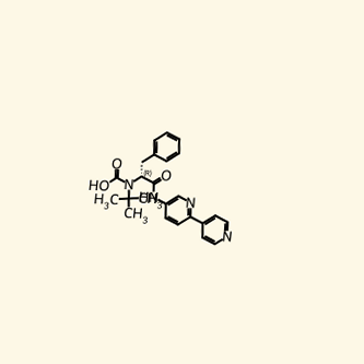 CC(C)(C)N(C(=O)O)[C@H](Cc1ccccc1)C(=O)Nc1ccc(-c2ccncc2)nc1